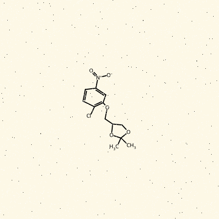 CC1(C)OCC(COc2cc([N+](=O)[O-])ccc2Cl)O1